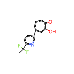 CC(F)(F)c1ccc(-c2cccc(=O)c(O)c2)cn1